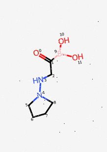 O=C(CNN1CCCC1)B(O)O